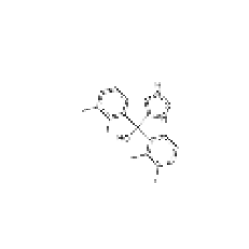 Cc1cccc(C(O)(c2c[nH]cn2)c2cccc(C)c2C)c1C